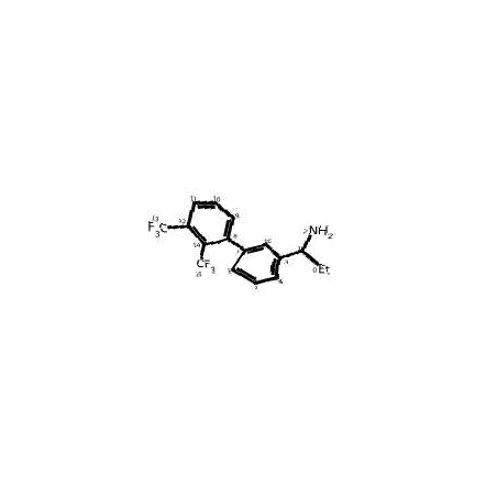 [CH2]CC(N)c1cccc(-c2cccc(C(F)(F)F)c2C(F)(F)F)c1